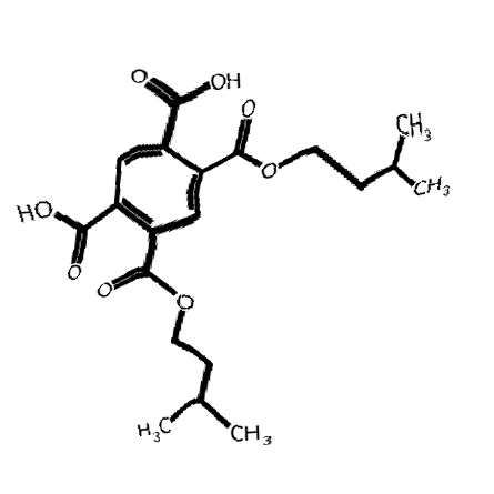 CC(C)CCOC(=O)c1cc(C(=O)OCCC(C)C)c(C(=O)O)cc1C(=O)O